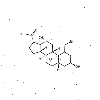 CC(=O)[C@H]1CC[C@H]2[C@@H]3CC[C@H]4C[C@H](O)CC(CBr)[C@]4(C)[C@H]3CC[C@]12C